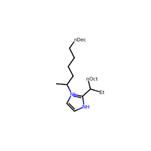 CCCCCCCCCCCCCCC(C)[n+]1cc[nH]c1C(CC)CCCCCCCC